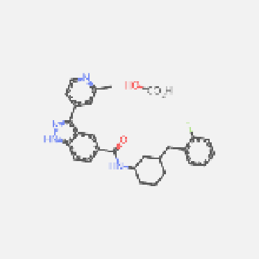 Cc1cc(-c2n[nH]c3ccc(C(=O)NC4CCCC(Cc5ccccc5F)C4)cc23)ccn1.O=C(O)O